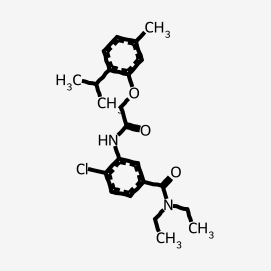 CCN(CC)C(=O)c1ccc(Cl)c(NC(=O)COc2cc(C)ccc2C(C)C)c1